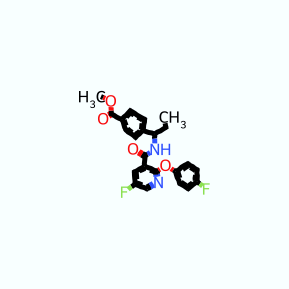 CCC(NC(=O)c1cc(F)cnc1Oc1ccc(F)cc1)c1ccc(C(=O)OC)cc1